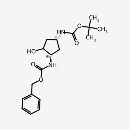 CC(C)(C)OC(=O)N[C@H]1CC(O)[C@H](NC(=O)OCc2ccccc2)C1